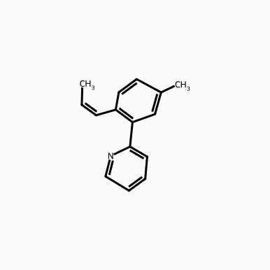 C/C=C\c1ccc(C)cc1-c1ccccn1